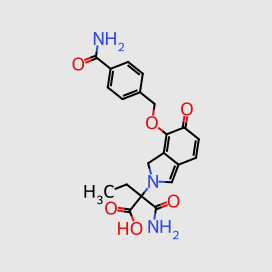 CCC(C(N)=O)(C(=O)O)N1C=C2C=CC(=O)C(OCc3ccc(C(N)=O)cc3)=C2C1